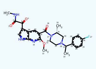 CNC(=O)C(=O)c1c[nH]c2nc(OC)c(C(=O)N3CCN(C(C)c4ccc(F)cc4)C[C@H]3C)cc12